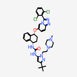 CN1CCN(CCn2nc(C(C)(C)C)cc2NC(=O)N[C@H]2CC[C@@H](Oc3ccc4nnc(-c5c(Cl)cccc5Cl)n4c3)c3ccccc32)CC1